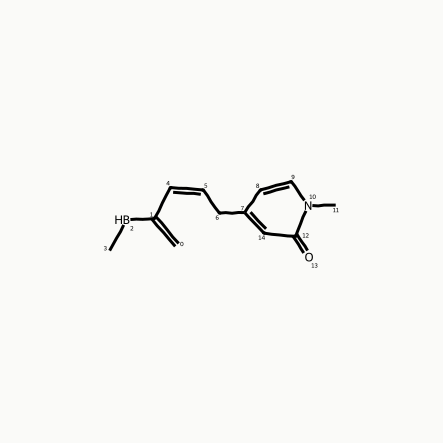 C=C(BC)/C=C\Cc1ccn(C)c(=O)c1